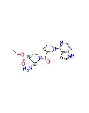 CCOC(=O)[C@@H]1CCN(C(=O)C2=CN(c3ncnc4[nH]ccc34)CCS2)C[C@@H]1N